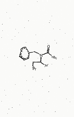 CCCCC(=O)N(Cc1ccccc1)C(CC(C)C)C(C)=O